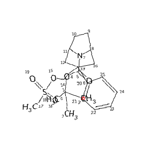 CC(C)(C)OC(=O)N1C2CCC1CC(COS(C)(=O)=O)(c1ccccc1)C2